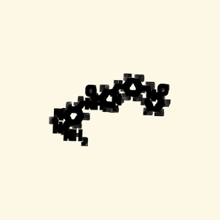 Nc1ncnc2cc(CNC(=O)c3ccnc(Cc4ccc(Cn5ccccc5=O)cc4)c3)ccc12